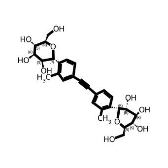 Cc1cc(C#Cc2ccc([C@H]3O[C@H](CO)[C@@H](O)[C@H](O)[C@@H]3O)c(C)c2)ccc1[C@H]1O[C@H](CO)[C@@H](O)[C@H](O)[C@H]1O